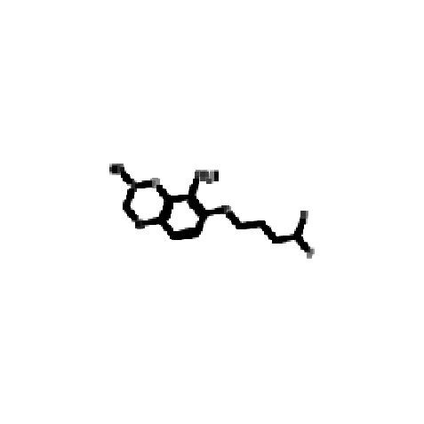 O=C(O)c1c(OCCCC(F)F)ccc2c1OB(O)CO2